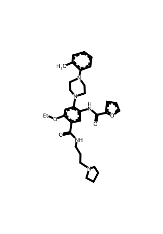 CCOc1cc(N2CCN(c3ccccc3C)CC2)c(NC(=O)c2ccco2)cc1C(=O)NCCCN1CCCC1